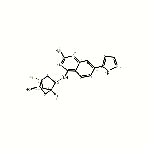 Nc1nc(N[C@H]2C[C@H]3C[C@H]2C[C@H]3O)c2ccc(-c3ccn[nH]3)cc2n1